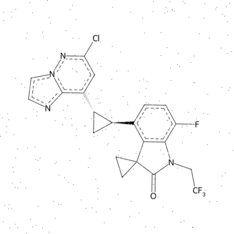 O=C1N(CC(F)(F)F)c2c(F)ccc([C@H]3C[C@@H]3c3cc(Cl)nn4ccnc34)c2C12CC2